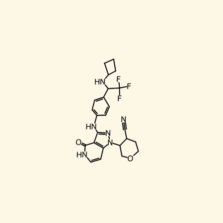 N#CC1CCOCC1n1nc(Nc2ccc(C(NC3CCC3)C(F)(F)F)cc2)c2c(=O)[nH]ccc21